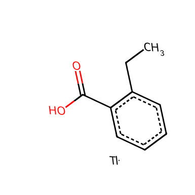 CCc1ccccc1C(=O)O.[Tl]